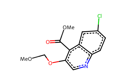 COCOc1cnc2ccc(Cl)cc2c1C(=O)OC